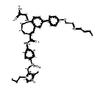 CCCCOCCOc1ccc(-c2ccc3c(c2)/C=C(/C(=O)Nc2ccc([S@@+]([O-])Cc4c(C)ncn4CCC)cc2)CCCN3CC(=O)O)cc1